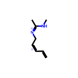 C=C/C=C\C/N=C(/C)NC